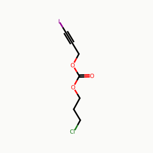 O=C(OCC#CI)OCCCCl